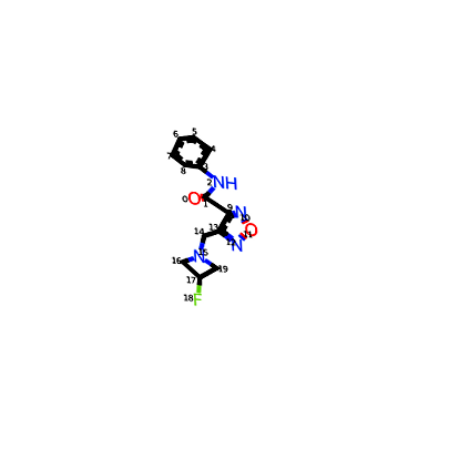 O=C(Nc1ccccc1)c1nonc1CN1CC(F)C1